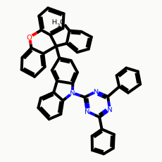 Cc1ccccc1C1(c2ccc3c(c2)c2ccccc2n3-c2nc(-c3ccccc3)nc(-c3ccccc3)n2)c2ccccc2Oc2ccccc21